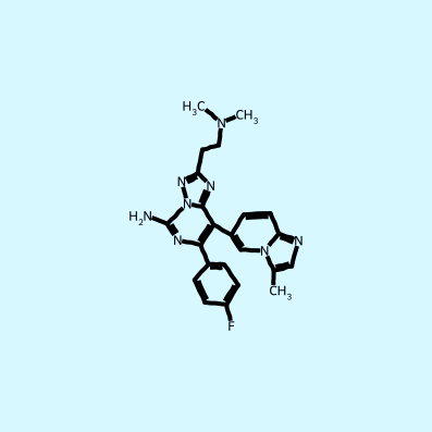 Cc1cnc2ccc(-c3c(-c4ccc(F)cc4)nc(N)n4nc(CCN(C)C)nc34)cn12